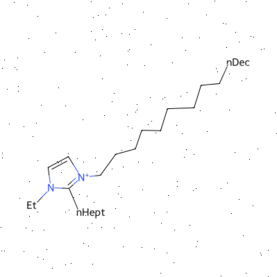 CCCCCCCCCCCCCCCCCCC[n+]1ccn(CC)c1CCCCCCC